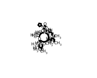 CC[C@H]1OC(=O)[C@H](C)[C@@H](O[C@H]2C[C@@](C)(OC)[C@@H](O)[C@H](C)O2)[C@H](C)[C@@H](O[C@@H]2O[C@H](C)C[C@H](N(C)CCc3cn(C[C@H]4CN(C5CCCC5)C(=O)O4)nn3)[C@H]2O)[C@](C)(O)C[C@@H](C)CN(C)[C@H](C)[C@@H](O)[C@]1(C)O